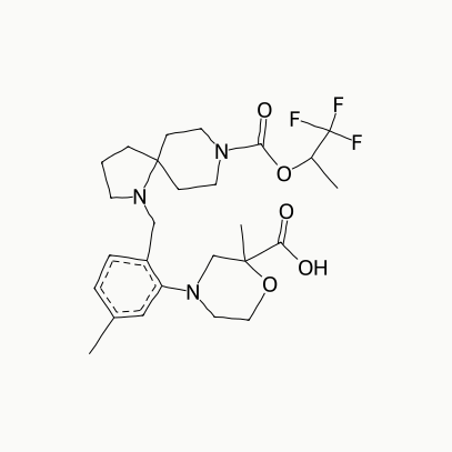 Cc1ccc(CN2CCCC23CCN(C(=O)OC(C)C(F)(F)F)CC3)c(N2CCOC(C)(C(=O)O)C2)c1